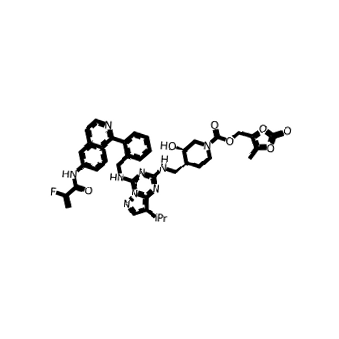 C=C(F)C(=O)Nc1ccc2c(-c3ccccc3CNc3nc(NC[C@@H]4CCN(C(=O)OCc5oc(=O)oc5C)C[C@@H]4O)nc4c(C(C)C)cnn34)nccc2c1